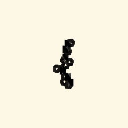 C1=CN(c2ccc(-c3ccccn3)nc2)c2cccc3cc4c(c1c23)c1ccccc1n4-c1cnc2c(ccc3cccnc32)c1